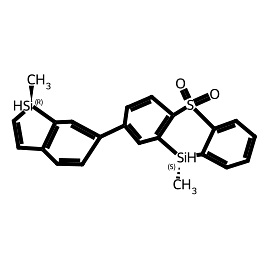 C[Si@H]1c2ccccc2S(=O)(=O)c2ccc(-c3ccc4c(c3)[Si@H](C)C=C4)cc21